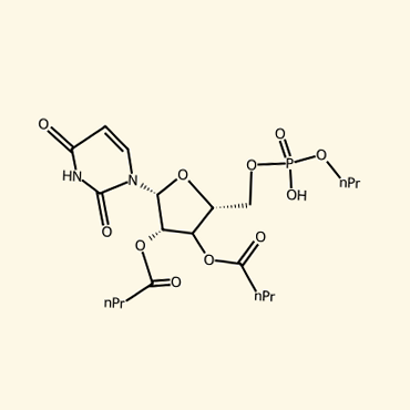 CCCOP(=O)(O)OC[C@H]1O[C@@H](n2ccc(=O)[nH]c2=O)[C@@H](OC(=O)CCC)C1OC(=O)CCC